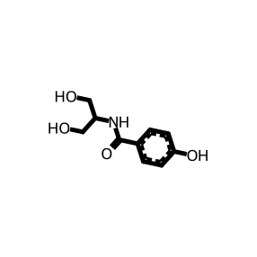 O=C(NC(CO)CO)c1ccc(O)cc1